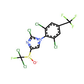 [O-][S+](c1cn(-c2c(Cl)cc(C(F)(F)F)cc2Cl)c(Cl)n1)C(F)(Cl)Cl